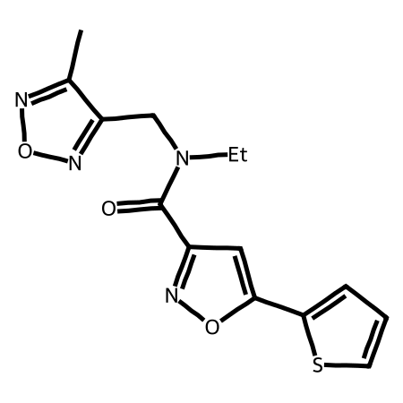 CCN(Cc1nonc1C)C(=O)c1cc(-c2cccs2)on1